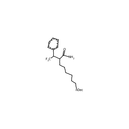 CCCCCCCCCCCCCCCCC(C(N)=O)C(c1ccccc1)C(F)(F)F